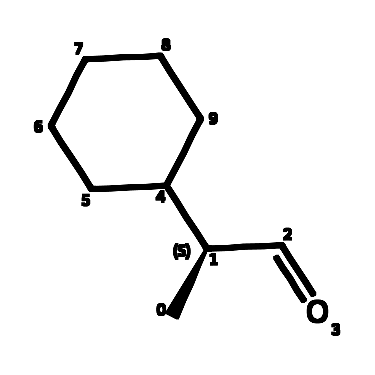 C[C@H](C=O)C1CCCCC1